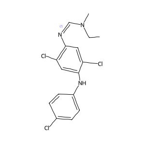 CCN(C)/C=N\c1cc(Cl)c(Nc2ccc(Cl)cc2)cc1Cl